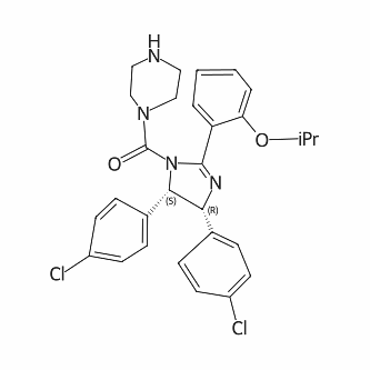 CC(C)Oc1ccccc1C1=N[C@H](c2ccc(Cl)cc2)[C@H](c2ccc(Cl)cc2)N1C(=O)N1CCNCC1